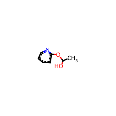 CC(O)Oc1ccccn1